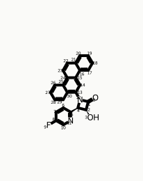 O=C1[C@H](O)[C@@H](c2ccc(F)cn2)N1c1cc2c3ccccc3ccc2c2ccccc12